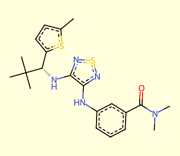 Cc1ccc([C@H](Nc2nsnc2Nc2cccc(C(=O)N(C)C)c2)C(C)(C)C)s1